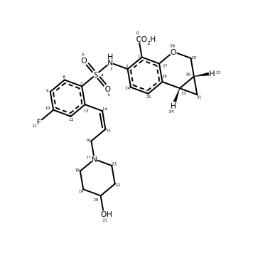 O=C(O)c1c(NS(=O)(=O)c2ccc(F)cc2/C=C\CN2CCC(O)CC2)ccc2c1OC[C@@H]1C[C@H]21